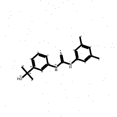 Cc1cc(C)cc(NC(=S)Nc2cccc(C(C)(C)O)c2)c1